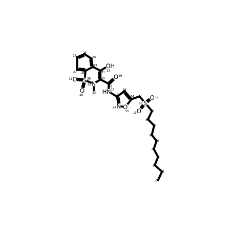 CCCCCCCCCCS(=O)(=O)Cc1cc(NC(=O)C2=C(O)c3ccccc3S(=O)(=O)N2C)no1